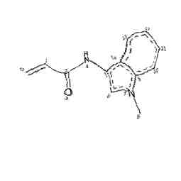 C=CC(=O)Nc1cn(C)c2ccccc12